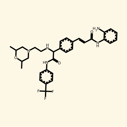 CC1CN(CCNC(C(=O)Nc2ccc(C(F)(F)F)cc2)c2ccc(/C=C/C(=O)Nc3ccccc3N)cc2)CC(C)O1